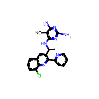 C[C@H](Nc1nc(N)nc(N)c1C#N)c1cc2cccc(Cl)c2nc1-c1ccccn1